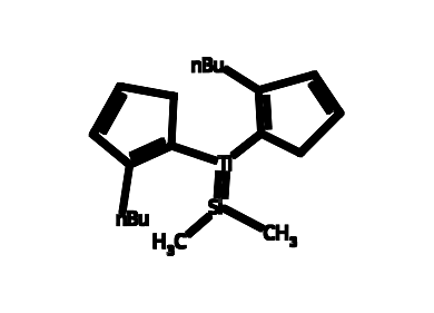 CCCCC1=[C]([Ti]([C]2=C(CCCC)C=CC2)=[Si](C)C)CC=C1